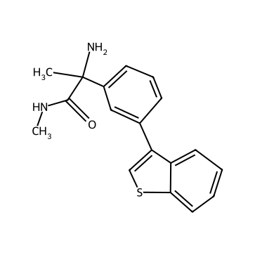 CNC(=O)C(C)(N)c1cccc(-c2csc3ccccc23)c1